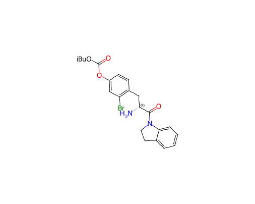 CC(C)COC(=O)Oc1ccc(C[C@@H](N)C(=O)N2CCc3ccccc32)c(Br)c1